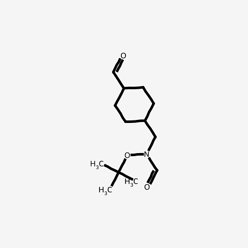 CC(C)(C)ON(C=O)CC1CCC(C=O)CC1